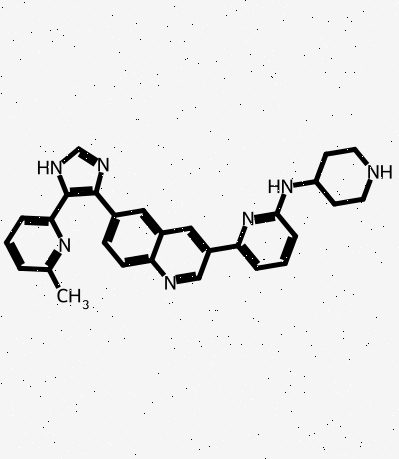 Cc1cccc(-c2[nH]cnc2-c2ccc3ncc(-c4cccc(NC5CCNCC5)n4)cc3c2)n1